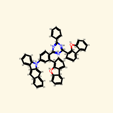 c1ccc(-c2nc(-c3ccc(-n4c5ccccc5c5cc6ccccc6cc54)cc3-c3cccc4c3oc3ccccc34)nc(-c3cccc4c3oc3ccccc34)n2)cc1